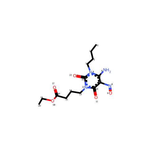 CCCCn1c(N)c(N=O)c(=O)n(CCCC(=O)OCC)c1=O